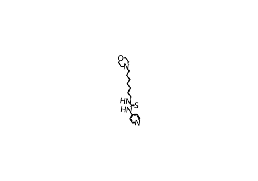 S=C(NCCCCCCCN1CCOCC1)Nc1ccncc1